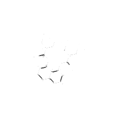 CCN(CC)C(=O)Oc1cccc2cccc(SC(=O)N(CC)CC)c12